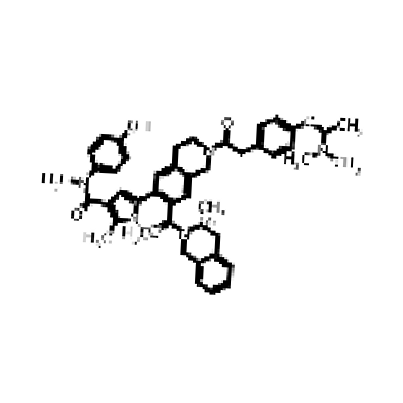 Cc1c(C(=O)N(C)c2ccc(O)cc2)cc(-c2cc3c(cc2C(=O)N2Cc4ccccc4C[C@H]2C)CN(C(=O)Cc2ccc(OC(C)N(C)C)cc2)CC3)n1C